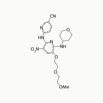 COCCOCCOc1cc([N+](=O)[O-])c(Nc2ccc(C#N)cn2)nc1NC1CCOCC1